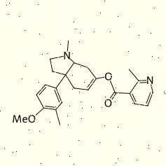 COc1ccc(C23CC=C(OC(=O)c4cccnc4C)CC2N(C)CC3)cc1C